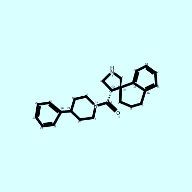 O=C([C@@H]1CNC[C@@]12CCCc1ccccc12)N1CCC(c2ccccc2)CC1